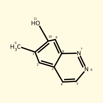 Cc1cc2ccnnc2cc1O